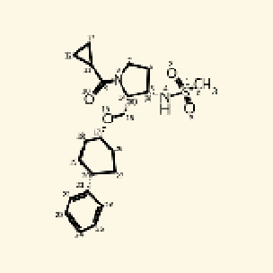 CS(=O)(=O)N[C@H]1CCN(C(=O)C2CC2)[C@H]1CO[C@H]1CC[C@@H](c2ccccc2)CC1